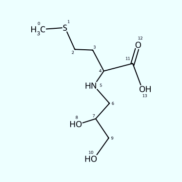 CSCCC(NCC(O)CO)C(=O)O